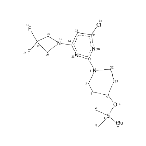 CC(C)(C)[Si](C)(C)OC1CCN(c2nc(Cl)cc(N3CC(F)(F)C3)n2)CC1